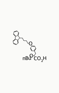 CCCCOC(Cc1ccc(OCCCCC2c3ccccc3-c3ccccc32)cc1)C(=O)O